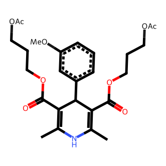 COc1cccc(C2C(C(=O)OCCCOC(C)=O)=C(C)NC(C)=C2C(=O)OCCCOC(C)=O)c1